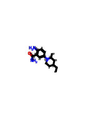 CCC1CCN(c2ccc(N)c(C(N)=O)c2)C(C)C1